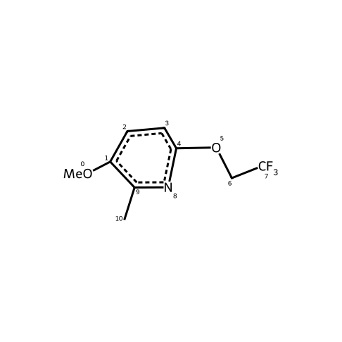 COc1ccc(OCC(F)(F)F)nc1C